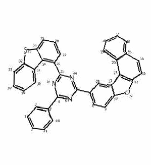 c1ccc(-c2nc(-c3ccc4oc5ccc6ccccc6c5c4c3)nc(-c3cccc4sc5ccccc5c34)n2)cc1